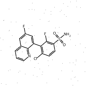 NS(=O)(=O)c1ccc(Cl)c(-c2cc(F)cc3cccnc23)c1F